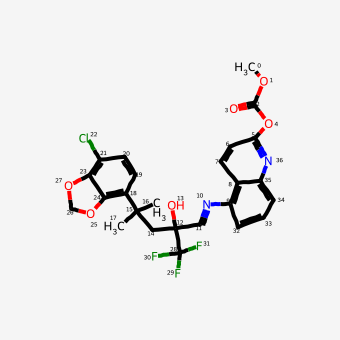 COC(=O)Oc1ccc2c(N=CC(O)(CC(C)(C)c3ccc(Cl)c4c3OCO4)C(F)(F)F)cccc2n1